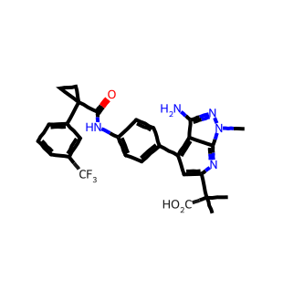 Cn1nc(N)c2c(-c3ccc(NC(=O)C4(c5cccc(C(F)(F)F)c5)CC4)cc3)cc(C(C)(C)C(=O)O)nc21